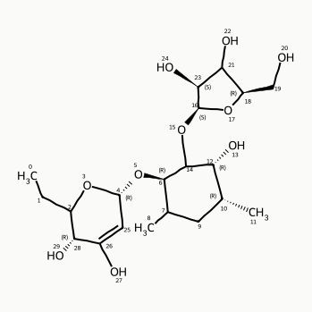 CCC1O[C@H](O[C@@H]2C(C)C[C@@H](C)[C@@H](O)C2O[C@@H]2O[C@H](CO)C(O)[C@@H]2O)C=C(O)[C@@H]1O